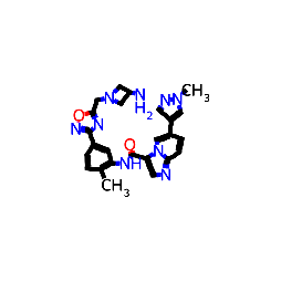 Cc1ccc(-c2noc(CN3CC(N)C3)n2)cc1NC(=O)c1cnc2ccc(-c3cnn(C)c3)cn12